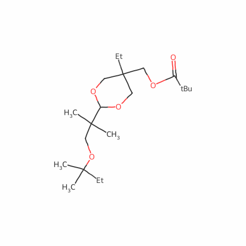 CCC1(COC(=O)C(C)(C)C)COC(C(C)(C)COC(C)(C)CC)OC1